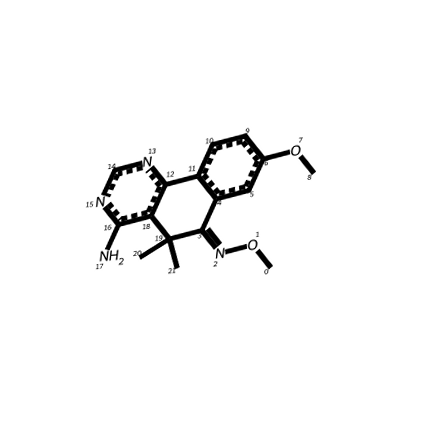 CO/N=C1\c2cc(OC)ccc2-c2ncnc(N)c2C1(C)C